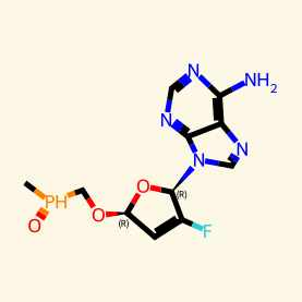 C[PH](=O)CO[C@@H]1C=C(F)[C@H](n2cnc3c(N)ncnc32)O1